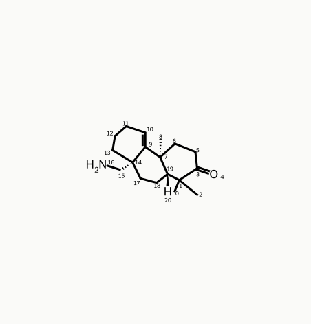 CC1(C)C(=O)CC[C@]2(C)C3=CCCC[C@]3(CN)CC[C@@H]12